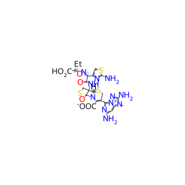 CC[C@H](O/N=C(\C(=O)NC1(C=S)C(=O)N2C(C(=O)[O-])=C(c3nc(N)cc4n(C)c(N)n[n+]34)CS[C@H]21)c1csc(N)n1)C(=O)O